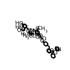 COc1cc(OCC(=O)OC2CCC(Cc3cccc(C4(C(=O)OC5CN6CCC5CC6)CCCCC4)c3)CC2)c(Cl)cc1CNC[C@H](O[Si](C)(C)C(C)(C)C)c1ccc(O)c2[nH]c(=O)ccc12